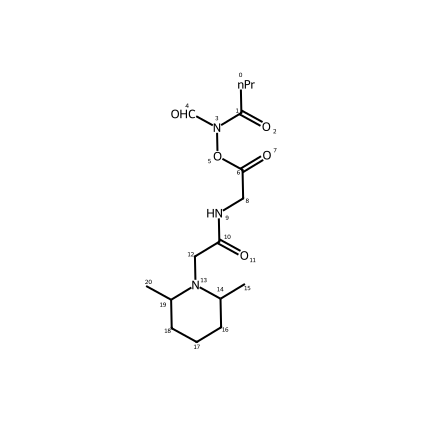 CCCC(=O)N(C=O)OC(=O)CNC(=O)CN1C(C)CCCC1C